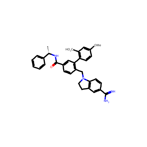 COc1ccc(-c2cc(C(=O)N[C@@H](C)c3ccccc3)ccc2CN2CCc3cc(C(=N)N)ccc32)c(C(=O)O)c1